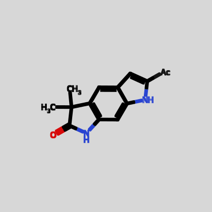 CC(=O)c1cc2cc3c(cc2[nH]1)NC(=O)C3(C)C